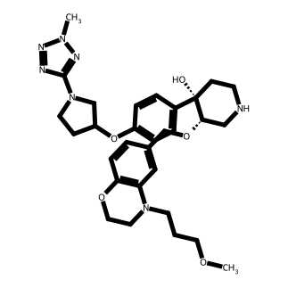 COCCCN1CCOc2ccc(CO[C@H]3CNCC[C@]3(O)c3ccc(OC4CCN(c5nnn(C)n5)C4)cc3)cc21